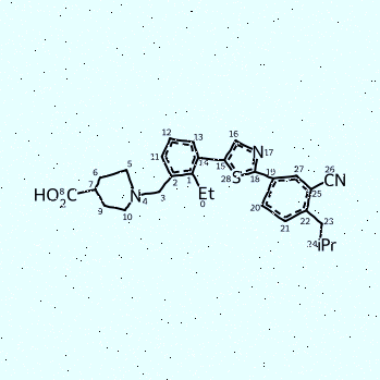 CCc1c(CN2CCC(C(=O)O)CC2)cccc1-c1cnc(-c2ccc(CC(C)C)c(C#N)c2)s1